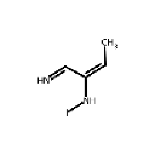 C/C=C(\C=N)NI